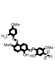 CCS(=O)(=O)c1cc(O)c(/N=N/c2ccc3c(/N=N/c4ccc(OC)cc4C)c(NC)ccc3c2O)cc1OC